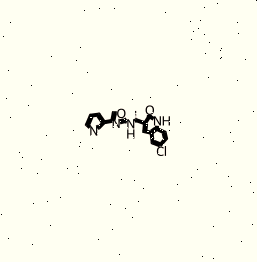 C[C@@H](Nc1nc(-c2cccnc2)co1)c1cc2cc(Cl)ccc2[nH]c1=O